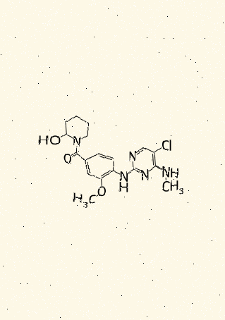 CNc1nc(Nc2ccc(C(=O)N3CCCCC3O)cc2OC)ncc1Cl